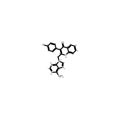 O=c1c(-c2ccc(F)cc2)c(Cn2cnc3c([AsH2])ncnc32)oc2ccccc12